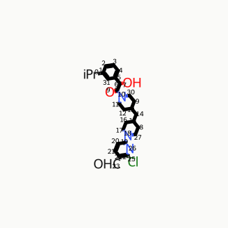 CC(C)c1cccc(C(O)C(=O)N2CCC(CC3CCN(c4ccc(C=O)c(Cl)n4)CC3)CC2)c1